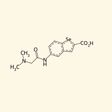 CN(C)CC(=O)Nc1ccc2[se]c(C(=O)O)cc2c1